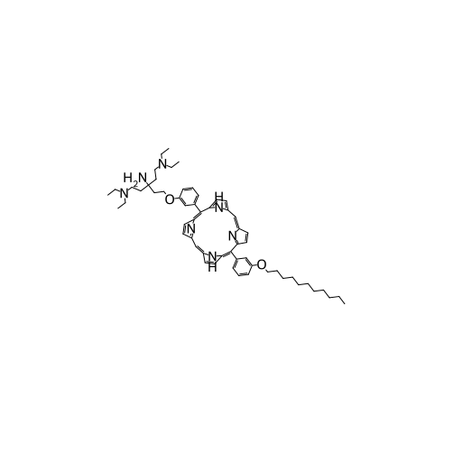 CCCCCCCCCCCOc1cccc(-c2c3nc(cc4ccc([nH]4)c(-c4cccc(OCCC(N)(CCN(CC)CC)CCN(CC)CC)c4)c4nc(cc5ccc2[nH]5)C=C4)C=C3)c1